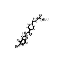 CC(C)(C)OC(=O)NCCN1CCC(C(=O)Nc2nc3ccc(Br)c(F)c3s2)CC1